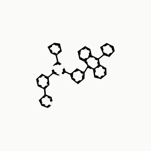 c1ccc(-c2nc(-c3cccc(-c4cccnc4)c3)nc(-c3cccc(-c4c5ccccc5c(-c5ccccc5)c5ccccc45)c3)n2)cc1